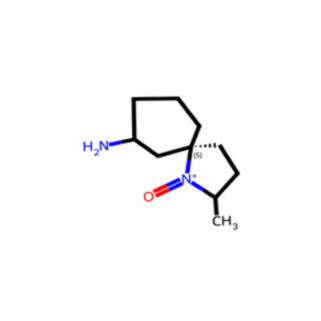 CC1CC[C@]2(CCCC(N)C2)[N+]1=O